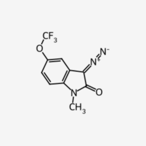 CN1C(=O)C(=[N+]=[N-])c2cc(OC(F)(F)F)ccc21